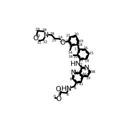 COC(=O)CNCc1cnc2c(Nc3cccc(-c4cccc(OCCCN5CCOCC5)c4C)c3C)nccc2c1